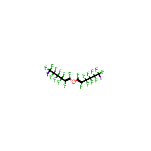 FC(OC(F)=C(F)C(F)(F)C(F)(F)C(F)(F)C(F)(F)I)=C(F)C(F)(F)C(F)(F)C(F)(F)C(F)(F)I